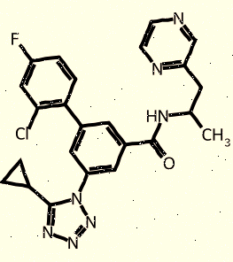 CC(Cc1cnccn1)NC(=O)c1cc(-c2ccc(F)cc2Cl)cc(-n2nnnc2C2CC2)c1